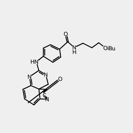 CC(C)COCCCNC(=O)c1ccc(NC2=NCC34CC(=O)CC=NC3=CC=CC4=N2)cc1